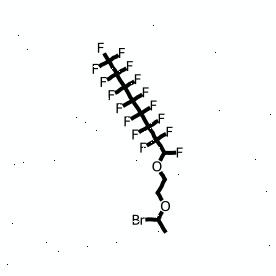 CC(Br)OCCOC(F)C(F)(F)C(F)(F)C(F)(F)C(F)(F)C(F)(F)C(F)(F)C(F)(F)F